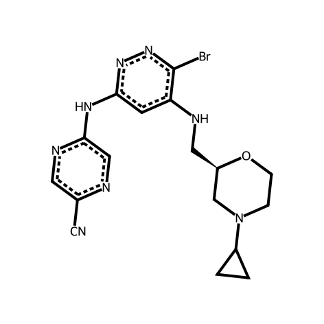 N#Cc1cnc(Nc2cc(NC[C@@H]3CN(C4CC4)CCO3)c(Br)nn2)cn1